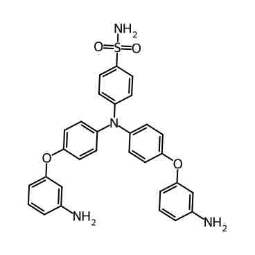 Nc1cccc(Oc2ccc(N(c3ccc(Oc4cccc(N)c4)cc3)c3ccc(S(N)(=O)=O)cc3)cc2)c1